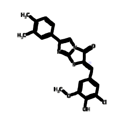 COc1cc(/C=c2\sc3nc(-c4ccc(C)c(C)c4)cn3c2=O)cc(Cl)c1O